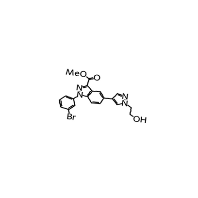 COC(=O)c1nn(-c2cccc(Br)c2)c2ccc(-c3cnn(CCO)c3)cc12